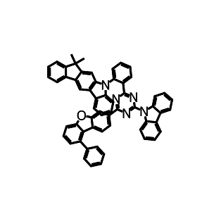 CC1(C)c2ccccc2-c2cc3c4ccccc4n(-c4ccccc4-c4nc(-c5ccc6c(c5)oc5cccc(-c7ccccc7)c56)nc(-n5c6ccccc6c6ccccc65)n4)c3cc21